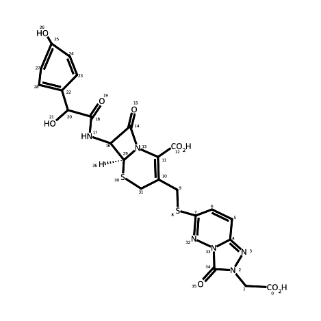 O=C(O)Cn1nc2ccc(SCC3=C(C(=O)O)N4C(=O)C(NC(=O)C(O)c5ccc(O)cc5)[C@@H]4SC3)nn2c1=O